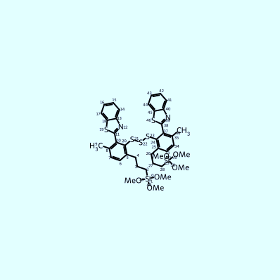 CO[Si](CCCc1ccc(C)c(-c2nc3ccccc3s2)c1SSSc1c(CCC[Si](OC)(OC)OC)ccc(C)c1-c1nc2ccccc2s1)(OC)OC